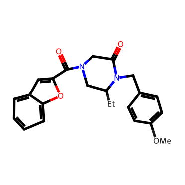 CCC1CN(C(=O)c2cc3ccccc3o2)CC(=O)N1Cc1ccc(OC)cc1